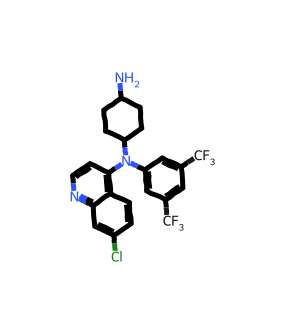 NC1CCC(N(c2cc(C(F)(F)F)cc(C(F)(F)F)c2)c2ccnc3cc(Cl)ccc23)CC1